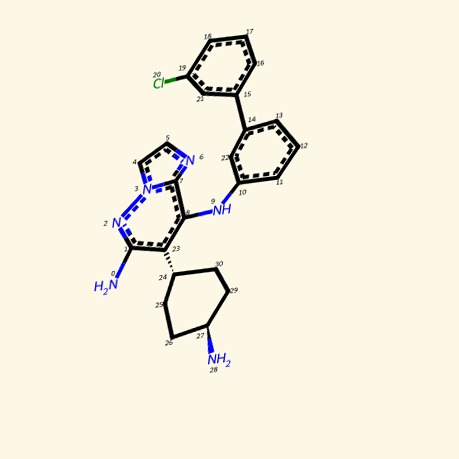 Nc1nn2ccnc2c(Nc2cccc(-c3cccc(Cl)c3)c2)c1[C@H]1CC[C@H](N)CC1